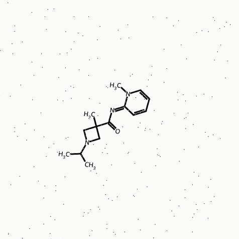 CC(C)N1CC(C)(C(=O)/N=c2\ccccn2C)C1